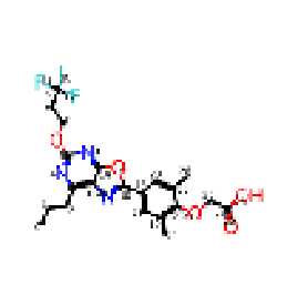 CCCc1nc(OCCC(F)(F)F)nc2oc(-c3cc(C)c(OCC(=O)O)c(C)c3)nc12